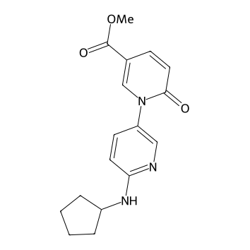 COC(=O)c1ccc(=O)n(-c2ccc(NC3CCCC3)nc2)c1